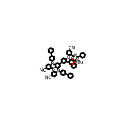 CC(C)(C)c1ccc2c3cc(-c4cc5c6c(c4)N(c4ccc(-c7ccccc7)cc4)c4ccc(C#N)cc4B6c4cc(C#N)ccc4N5c4ccc(-c5ccccc5)cc4)ccc3n(-c3ccc(C#N)cc3-c3nc(-c4ccccc4)nc(-c4ccccc4)n3)c2c1